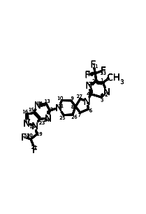 Cc1ncc(N2CCC3(CCN(c4cnc5cnn(CC(F)F)c5n4)CC3)C2)nc1C(F)(F)F